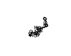 Cc1nc(NCC=Cc2cccc(OCc3ccccc3)n2)nc(C)c1C(=O)NC(CNC(=O)c1cccs1)C(=O)O